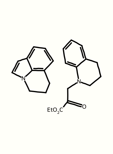 CCOC(=O)C(=O)CN1CCCc2ccccc21.c1cc2c3c(c1)ccn3CCC2